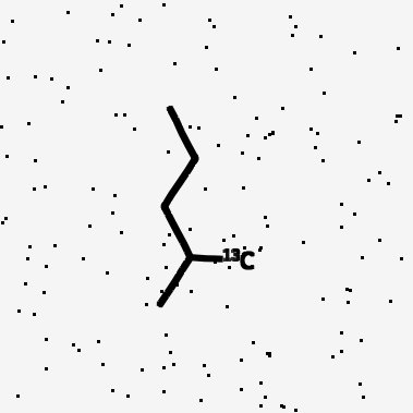 CCCC(C)[13CH3]